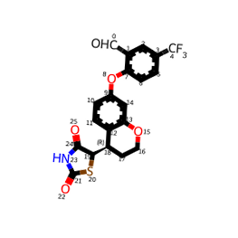 O=Cc1cc(C(F)(F)F)ccc1Oc1ccc2c(c1)OCC[C@H]2C1SC(=O)NC1=O